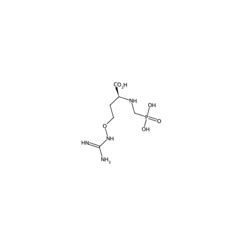 N=C(N)NOCC[C@H](NCP(=O)(O)O)C(=O)O